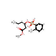 CCC[C@H](CC(=O)OC)OS(=O)(=O)c1ccccc1C